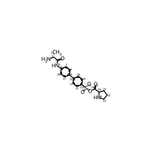 C[C@@H](N)C(=O)Nc1ccc(-c2ccc(S(=O)(=O)OC(=O)C3CCCN3)cc2)cc1